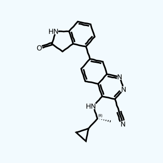 C[C@@H](Nc1c(C#N)nnc2cc(-c3cccc4c3CC(=O)N4)ccc12)C1CC1